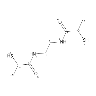 CC(S)C(=O)NCCNC(=O)C(C)S